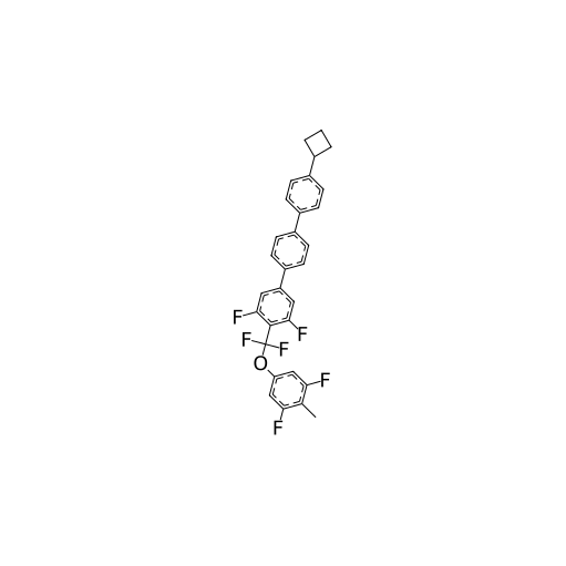 Cc1c(F)cc(OC(F)(F)c2c(F)cc(-c3ccc(-c4ccc(C5CCC5)cc4)cc3)cc2F)cc1F